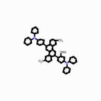 COc1cc(N(c2ccccc2)c2ccccc2)ccc1-c1cc2c3cc(C)ccc3c(-c3ccc(N(c4ccccc4)c4ccccc4)cc3)cc2c2cc(C)ccc12